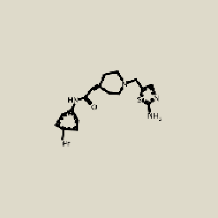 CC(C)c1ccc(NC(=O)C=C2CCN(Cc3cnc(N)s3)CC2)cc1